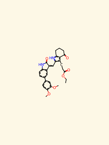 CCOC(=O)CCc1c(C=C2C(=O)Nc3ccc(-c4ccc(OC)c(OC)c4)cc32)[nH]c2c1C(=O)CCC2